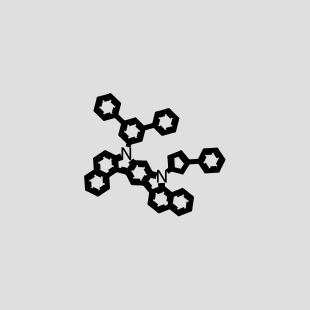 C1=C(c2ccccc2)CC(n2c3cc4c(cc3c3ccc5ccccc5c32)c2c3ccccc3ccc2n4-c2cc(-c3ccccc3)cc(-c3ccccc3)c2)=C1